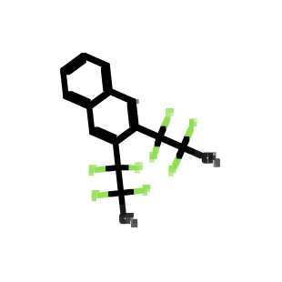 FC(F)(F)C(F)(F)C(F)(F)c1[c]c2ccccc2cc1C(F)(F)C(F)(F)C(F)(F)F